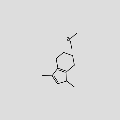 C[C]1C=C(C)C2=C1CCCC2.[CH3][Zr][CH3]